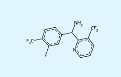 NC(c1ccc(C(F)(F)F)c(F)c1)c1ncccc1C(F)(F)F